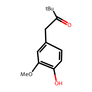 COc1cc(CC(=O)C(C)(C)C)ccc1O